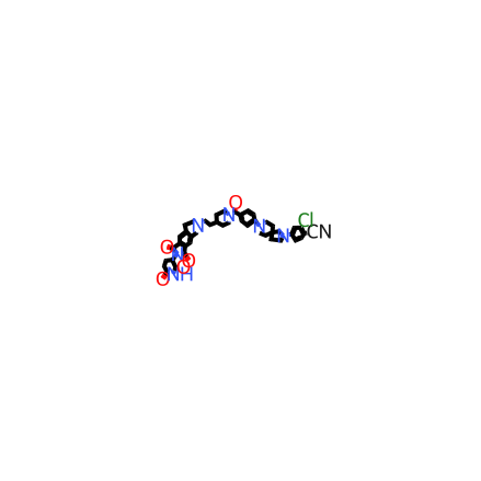 N#Cc1ccc(N2CCC3(CCN(c4ccc(C(=O)N5CCC(CCN6CCc7cc8c(cc7C6)C(=O)N(C6CCC(=O)NC6=O)C8=O)CC5)cc4)CC3)C2)cc1Cl